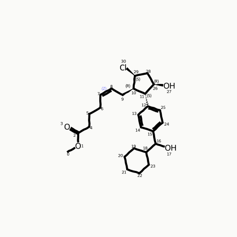 COC(=O)CCC/C=C\C[C@@H]1[C@@H](c2ccc(C(O)C3CCCCC3)cc2)[C@H](O)C[C@@H]1Cl